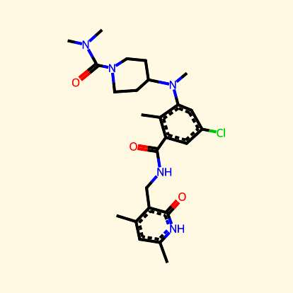 Cc1cc(C)c(CNC(=O)c2cc(Cl)cc(N(C)C3CCN(C(=O)N(C)C)CC3)c2C)c(=O)[nH]1